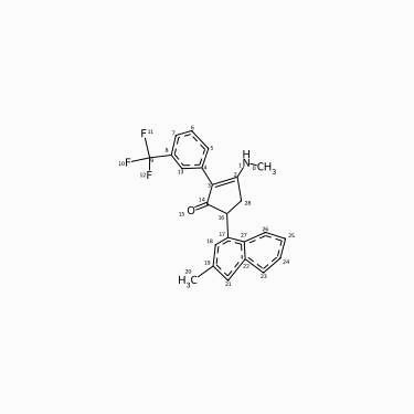 CNC1=C(c2cccc(C(F)(F)F)c2)C(=O)C(c2cc(C)cc3ccccc23)C1